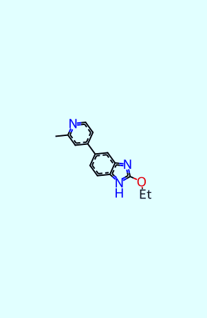 CCOc1nc2cc(-c3ccnc(C)c3)ccc2[nH]1